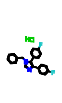 Cl.Fc1ccc(-c2ncn(Cc3ccccc3)c2-c2ccc(F)cc2)cc1